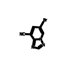 N#Cc1cc(Br)cn2ncnc12